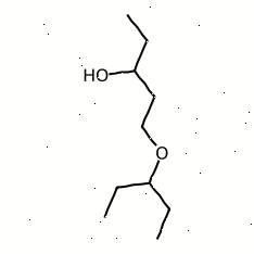 CCC(O)CCOC(CC)CC